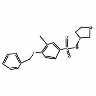 Cc1cc(S(=O)(=O)N[C@H]2CCNC2)ccc1OCc1ccccc1